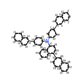 c1ccc2cc(-c3ccc(N(c4ccc(-c5ccc6ccccc6c5)cc4)c4ccc(-c5ccc6ccccc6c5)c5ccccc45)cc3)ccc2c1